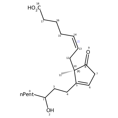 CCCCCC(O)CCC1=CCC(=O)[C@]1(C)C/C=C\CCCC(=O)O